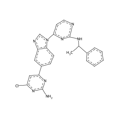 CC(Nc1nccc(-n2cnc3cc(-c4cc(Cl)nc(N)n4)ccc32)n1)c1ccccc1